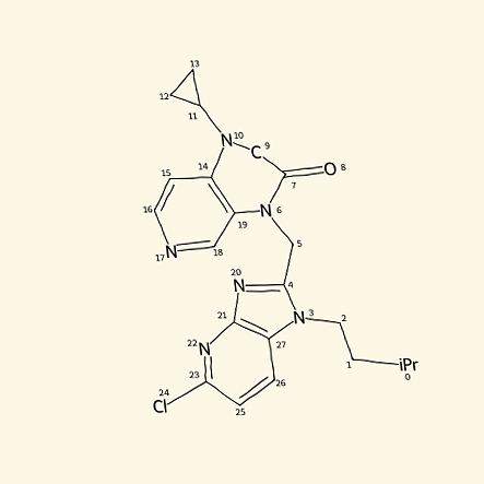 CC(C)CCn1c(CN2C(=O)CN(C3CC3)c3ccncc32)nc2nc(Cl)ccc21